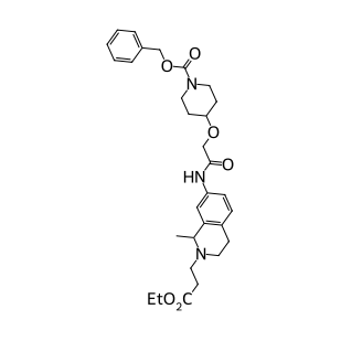 CCOC(=O)CCN1CCc2ccc(NC(=O)COC3CCN(C(=O)OCc4ccccc4)CC3)cc2C1C